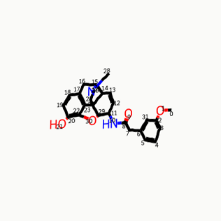 COc1cccc(CC(=O)NC2C=CC3C4Cc5ccc(O)c6c5C3(CCN4C)C2O6)c1